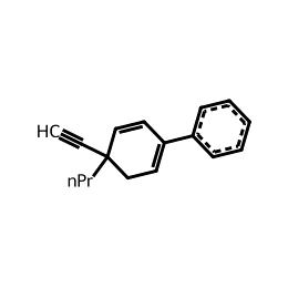 C#CC1(CCC)C=CC(c2ccccc2)=CC1